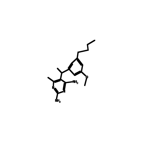 CCCCc1cc(OC)cc(C(C)c2c(C)nc(N)nc2N)c1